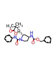 CC(C)(C)C(=O)ON(C(=O)N1CCC(NC(=O)OCc2ccccc2)CC1)c1ccccc1